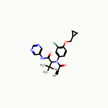 C#CC(=O)N(c1ccc(OCC2CC2)c(Cl)c1)C(C(=O)Nc1cncnc1)C(C)(C)C